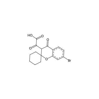 O=C(O)C(=O)C1C(=O)c2ccc(Br)cc2OC12CCCCC2